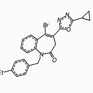 CCc1ccc(CN2C(=O)CC(c3nnc(C4CC4)o3)=C(Br)c3ccccc32)cc1